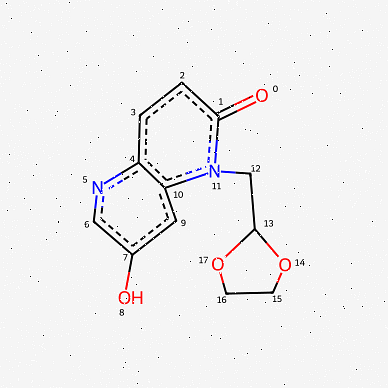 O=c1ccc2ncc(O)cc2n1CC1OCCO1